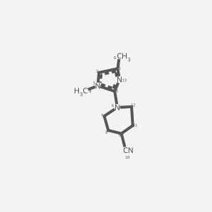 Cc1cn(C)c(N2CCC(C#N)CC2)n1